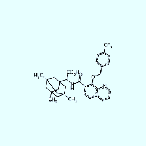 CC12CC3([C@H](NC(=O)c4ccc5cccnc5c4OCc4ccc(C(F)(F)F)cc4)C(=O)O)C[C@](C)(C1)C[C@](C)(C2)C3